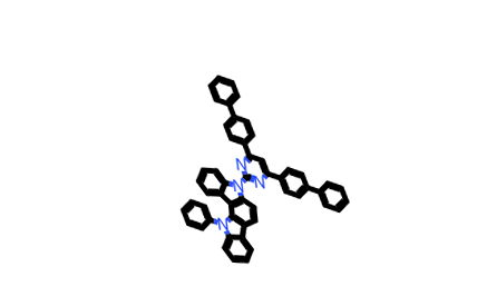 c1ccc(-c2ccc(-c3cc(-c4ccc(-c5ccccc5)cc4)nc(-n4c5ccccc5c5c4ccc4c6ccccc6n(-c6ccccc6)c45)n3)cc2)cc1